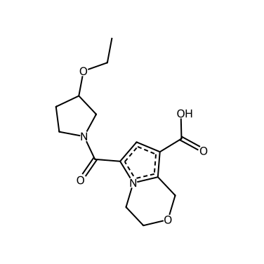 CCOC1CCN(C(=O)c2cc(C(=O)O)c3n2CCOC3)C1